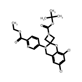 CCOC(=O)c1ccc(N2Cc3cc(Cl)cc(Cl)c3OC23CN(C(=O)OC(C)(C)C)C3)cn1